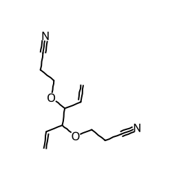 C=CC(OCCC#N)C(C=C)OCCC#N